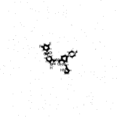 CN1CCN(c2ccc(C(=O)Nc3n[nH]c4c3CN(S(=O)(=O)c3cc(F)cc(F)c3)CC4)c(NCc3ccc[nH]3)c2)CC1